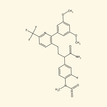 COc1cc(OC)cc(-c2nc(C(F)(F)F)ccc2CCC(C(N)=O)c2ccc(N(C)[SH](=O)=O)c(F)c2)c1